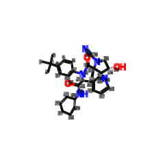 CC(C)(C)c1ccc(N(C(=O)[C@@]2(C)C[C@@H](O)CN2C#N)C(C(=O)NC2CCCCC2)c2cccnc2)cc1